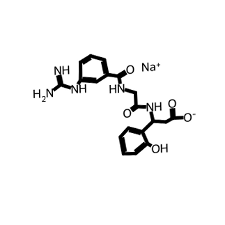 N=C(N)Nc1cccc(C(=O)NCC(=O)NC(CC(=O)[O-])c2ccccc2O)c1.[Na+]